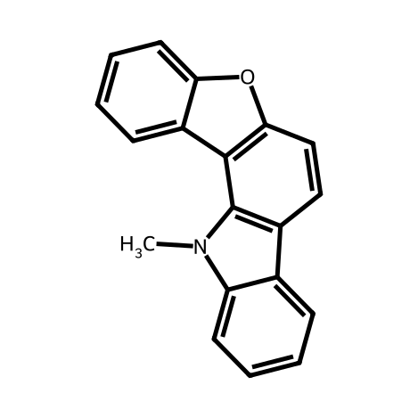 Cn1c2ccccc2c2ccc3oc4ccccc4c3c21